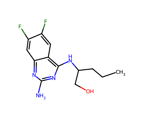 CCCC(CO)Nc1nc(N)nc2cc(F)c(F)cc12